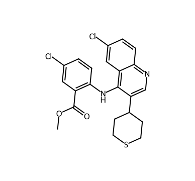 COC(=O)c1cc(Cl)ccc1Nc1c(C2CCSCC2)cnc2ccc(Cl)cc12